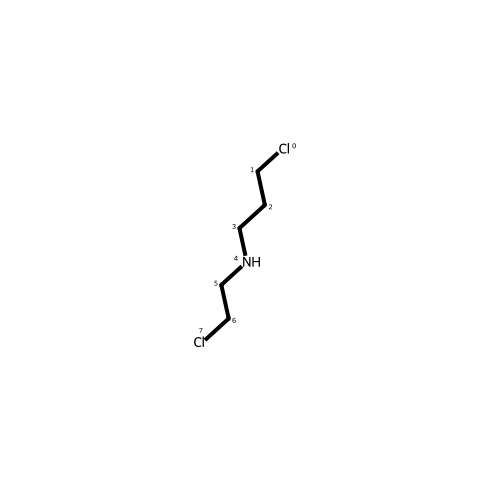 ClCCCNCCCl